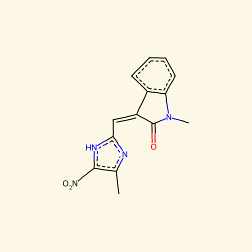 Cc1nc(C=C2C(=O)N(C)c3ccccc32)[nH]c1[N+](=O)[O-]